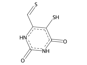 O=c1[nH]c(C=S)c(S)c(=O)[nH]1